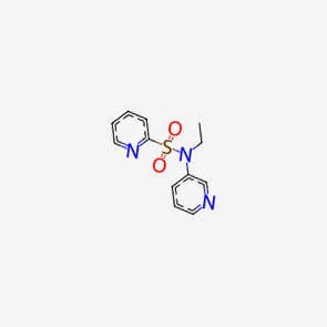 CCN(c1cccnc1)S(=O)(=O)c1ccccn1